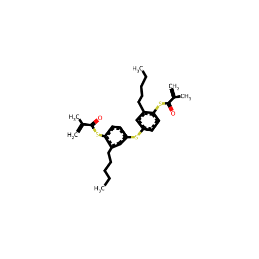 C=C(C)C(=O)Sc1ccc(Sc2ccc(SC(=O)C(=C)C)c(CCCCC)c2)cc1CCCCC